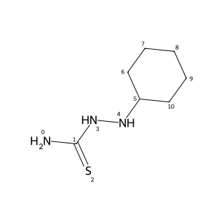 NC(=S)NNC1CCCCC1